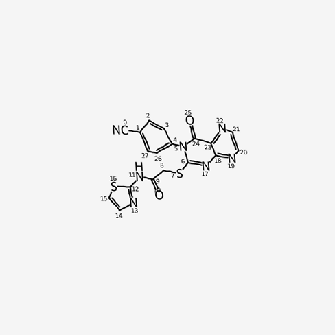 N#Cc1ccc(-n2c(SCC(=O)Nc3nccs3)nc3nccnc3c2=O)cc1